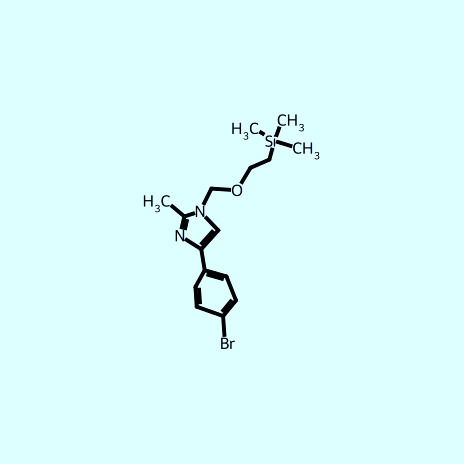 Cc1nc(-c2ccc(Br)cc2)cn1COCC[Si](C)(C)C